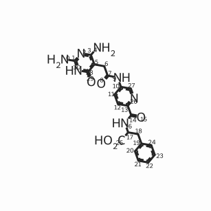 Nc1nc(N)c(CC(=O)Nc2ccc(C(=O)NC(Cc3ccccc3)C(=O)O)nc2)c(=O)[nH]1